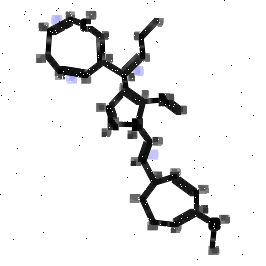 C=Nc1c(/C(=C/CC)C2=CC/C=C\C/C=C\2)cnn1/C=C/C1C=CC(OC)=CCC1